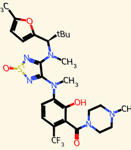 Cc1ccc([C@H](N(C)c2n[s+]([O-])nc2N(C)c2ccc(C(F)(F)F)c(C(=O)N3CCN(C)CC3)c2O)C(C)(C)C)o1